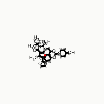 Cc1c(-c2ncco2)sc2c1c(=O)n(C(C)(C)C(=O)O)c(=O)n2CC(OC(=O)N1CCC(O)CC1)c1ccccc1